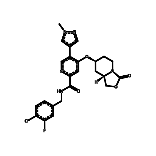 Cn1cc(-c2cnc(C(=O)NCc3ccc(Cl)c(F)c3)cc2O[C@H]2CCN3C(=O)OC[C@@H]3C2)cn1